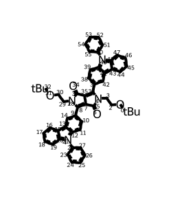 CC(C)(C)OCCN1C(=O)C2=C(c3ccc4c(c3)c3ccccc3n4-c3ccccc3)N(CCOC(C)(C)C)C(=O)C2=C1c1ccc2c(c1)c1ccccc1n2-c1ccccc1